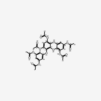 CC(=O)Oc1cc(OC(C)=O)cc(Oc2c(OC(C)=O)cc(OC(C)=O)c3c2Oc2c(OC(C)=O)cc(OC(C)=O)cc2O3)c1